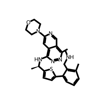 CNCc1c(C)cccc1-c1ccc([C@@H](C)Nc2nnc(C)c3cnc(N4CCOCC4)cc23)s1